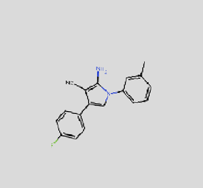 Cc1cccc(-n2cc(-c3ccc(F)cc3)c(C#N)c2N)c1